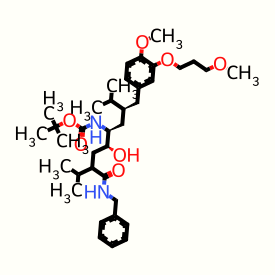 COCCCOc1cc(C[C@@H](C[C@H](NC(=O)OC(C)(C)C)[C@@H](O)CC(C(=O)NCc2ccccc2)C(C)C)C(C)C)ccc1OC